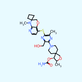 Cc1nc(N2CCC3(CC2)CO[C@@H](C)[C@H]3OC(N)=O)c(CO)nc1Sc1ccnc2c1OCC1(CCC1)N2C